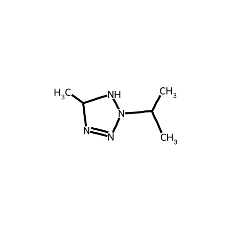 CC1N=NN(C(C)C)N1